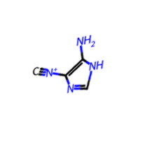 [C-]#[N+]c1nc[nH]c1N